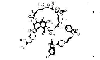 CO[C@H]1/C=C/O[C@@]2(C)Oc3c(C)c(O)c4c(c3C2=O)C2=NC3(CCN(CC(C)C)CC3)NC2=C(NC(=O)/C(C)=C\C=C\[C@H](C)[C@H](O)[C@@H](C)[C@@H](O)[C@@H](C)[C@H](OC(C)=O)[C@@H]1C)C4=O.O=c1[nH]c2ccccc2n1CCCN1CCC(n2c(=O)[nH]c3cc(Cl)ccc32)CC1